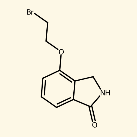 O=C1NCc2c(OCCBr)cccc21